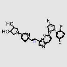 OC1CN(c2ccc(/C=C/c3cnc4ccc(N5C[C@@H](F)C[C@@H]5c5cc(F)ccc5F)nn34)nc2)CC1O